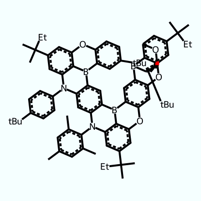 CCC(C)(C)c1cc2c3c(c1)Oc1cc4c(cc1B3c1cc(C(C)(C)C)ccc1O2)B1c2cc3c(cc2N(c2c(C)cc(C)cc2C)c2cc(C(C)(C)CC)cc(c21)O4)N(c1ccc(C(C)(C)C)cc1)c1cc(C(C)(C)CC)cc2c1B3c1cc(C(C)(C)C)ccc1O2